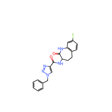 O=C(NC1CCc2ccc(F)cc2NC1=O)c1cn(Cc2ccccc2)nn1